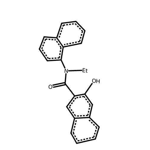 CCN(C(=O)c1cc2ccccc2cc1O)c1cccc2ccccc12